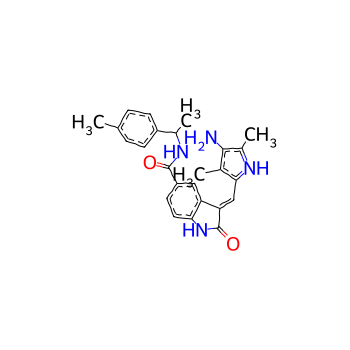 Cc1ccc(C(C)NC(=O)c2ccc3c(c2)C(=Cc2[nH]c(C)c(N)c2C)C(=O)N3)cc1